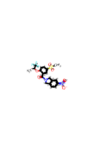 CC(Oc1ccc(S(C)(=O)=O)cc1C(=O)N1Cc2ccc([N+](=O)[O-])cc2C1)C(F)(F)F